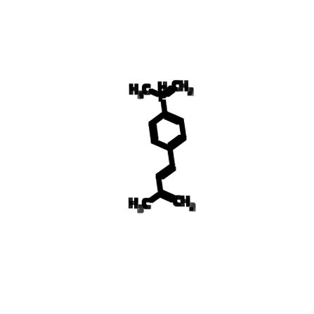 C=C(C)/C=C/c1ccc([PH](=C)C)cc1